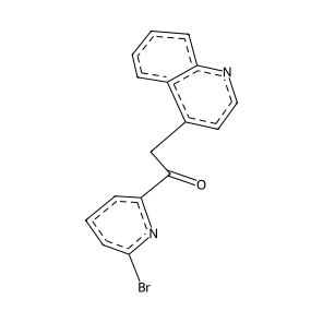 O=C(Cc1ccnc2ccccc12)c1cccc(Br)n1